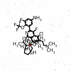 C[C@@H]1Oc2nc(-c3cc(N)cc(F)c3OC(F)(F)F)c(F)c3c(Cl)c(CCN(C)C)nc(c23)N2C[C@H]3CC[C@@H]([C@@H]12)N3C(=O)OC(C)(C)C